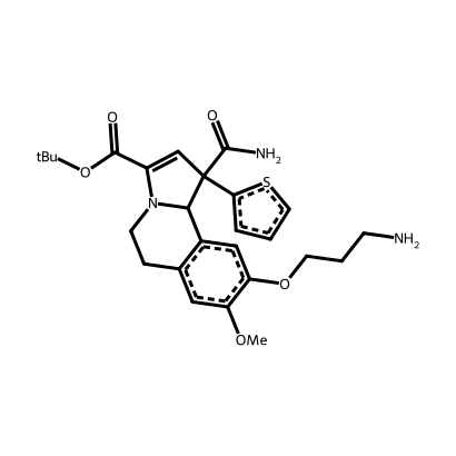 COc1cc2c(cc1OCCCN)C1N(CC2)C(C(=O)OC(C)(C)C)=CC1(C(N)=O)c1cccs1